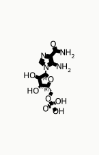 NC(=O)c1ncn([C@@H]2O[C@H](COP(=O)(O)O)[C@@H](O)C2O)c1N